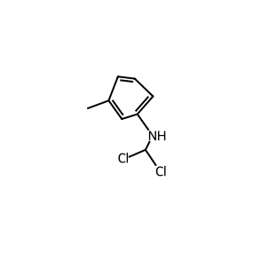 Cc1cccc(NC(Cl)Cl)c1